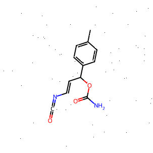 Cc1ccc(C(C=CN=C=O)OC(N)=O)cc1